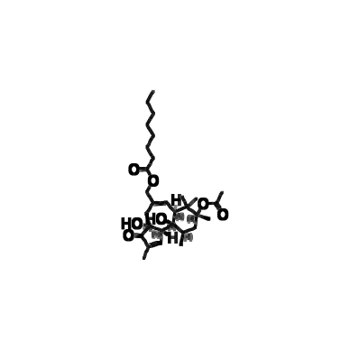 CCCCCCCC(=O)OCC1=C[C@H]2C(C)(C)[C@](C)(OC(C)=O)C[C@@H](C)[C@]2(O)[C@@H]2C=C(C)C(=O)[C@@]2(O)C1